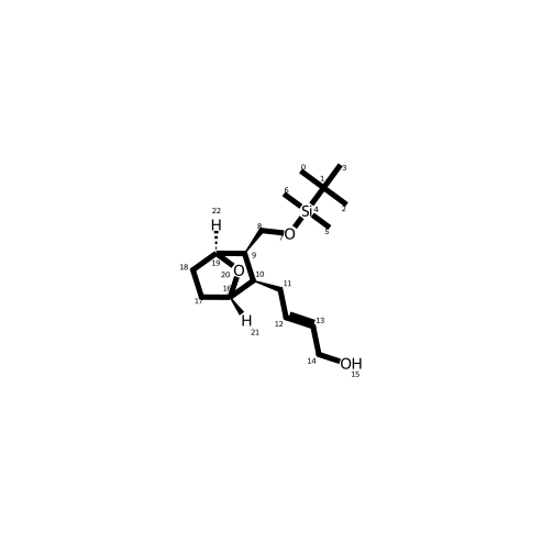 CC(C)(C)[Si](C)(C)OC[C@H]1[C@@H](C/C=C/CO)[C@@H]2CC[C@@H]1O2